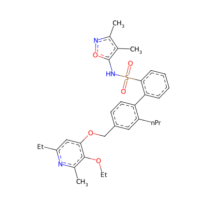 CCCc1cc(COc2cc(CC)nc(C)c2OCC)ccc1-c1ccccc1S(=O)(=O)Nc1onc(C)c1C